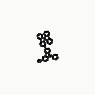 Clc1ccc2c(c1)c1cc(-c3ccc4c(c3)C3(c5ccccc5-c5ccccc53)c3ccccc3-4)ccc1n2-c1ccccc1